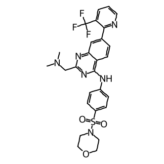 CN(C)Cc1nc(Nc2ccc(S(=O)(=O)N3CCOCC3)cc2)c2ccc(-c3ncccc3C(F)(F)F)cc2n1